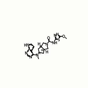 COc1nnc(NC(=O)N2C[C@H]3C[C@H](N(C)c4ncnc5[nH]ccc45)C[C@H]3C2)s1